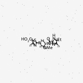 CCc1[nH]c(C(=O)N[C@@H]2CCN(c3nc(C)c(C(=O)O)s3)C[C@@H]2OC)nc1C